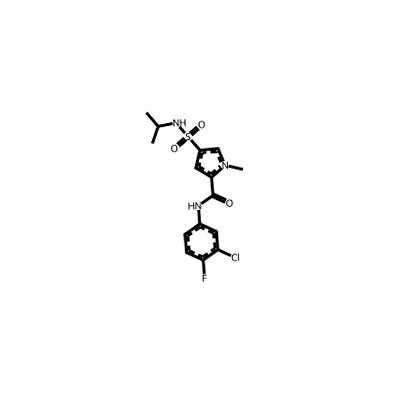 CC(C)NS(=O)(=O)c1cc(C(=O)Nc2ccc(F)c(Cl)c2)n(C)c1